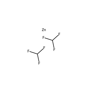 FC(F)F.FC(F)F.[Zn]